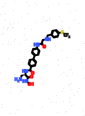 NC[C@H](NC(=O)c1ccc(-c2ccc(NC(=O)CNCc3ccc(SC(F)(F)F)cc3)cc2)cc1)C(=O)NO